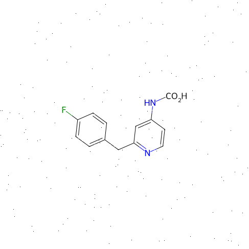 O=C(O)Nc1ccnc(Cc2ccc(F)cc2)c1